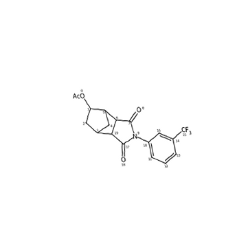 CC(=O)OC1CC2CC1C1C(=O)N(c3cccc(C(F)(F)F)c3)C(=O)C21